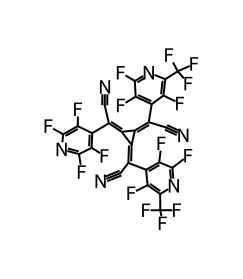 N#CC(=C1C(=C(\C#N)c2c(F)c(F)nc(C(F)(F)F)c2F)/C1=C(\C#N)c1c(F)c(F)nc(C(F)(F)F)c1F)c1c(F)c(F)nc(F)c1F